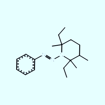 CCC1(C)CCC(C)C(C)(CC)N1/N=N/c1ccccc1